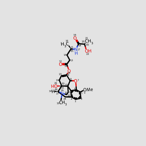 COc1ccc2c3c1OC1C(OC(=O)CC[C@@H](C)NC(=O)[C@H](C)O)=CC[C@@]4(O)[C@@H](C2)N(C)CCC314